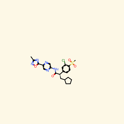 Cc1noc(-c2cnc(NC(=O)[C@H](CC3CCCC3)c3ccc(S(C)(=O)=O)c(Cl)c3)cn2)n1